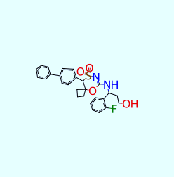 O=S1(=O)N=C(NC(CCO)c2ccccc2F)OC2(CCC2)C1c1ccc(-c2ccccc2)cc1